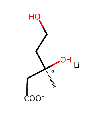 C[C@@](O)(CCO)CC(=O)[O-].[Li+]